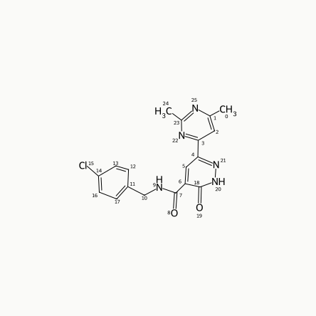 Cc1cc(-c2cc(C(=O)NCc3ccc(Cl)cc3)c(=O)[nH]n2)nc(C)n1